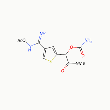 CNC(=O)C(OC(N)=O)c1cc(C(=N)NOC(C)=O)cs1